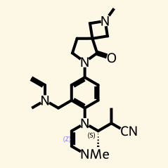 C=CN(C)Cc1cc(N2CCC3(CN(C)C3)C2=O)ccc1N(/C=C\NC)[C@@H](C)C(C)C#N